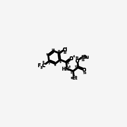 CCC(NC(=O)c1cc(C(F)(F)F)ccc1Cl)C(=O)OC(C)(C)C